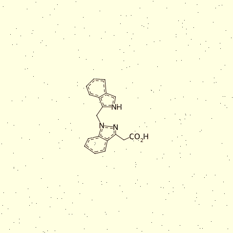 O=C(O)Cc1nn(Cc2[nH]cc3ccccc23)c2ccccc12